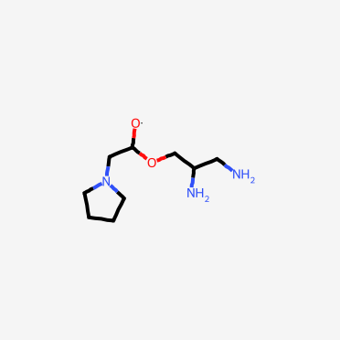 NCC(N)COC([O])CN1CCCC1